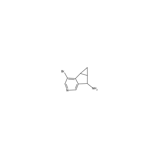 NC1c2cncc(Br)c2C2CC12